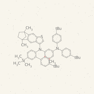 Cc1cc(N(c2ccc(C(C)(C)C)cc2)c2ccc(C(C)(C)C)cc2)cc(N(c2ccc([Si](C)(C)C)cc2-c2ccc(C(C)(C)C)cc2)c2csc3cc4c(cc23)C2(C)CCC4(C)C2)c1